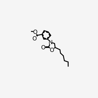 CCCCCCC1CN(c2cccc(C(=O)OC)c2)C(=O)O1